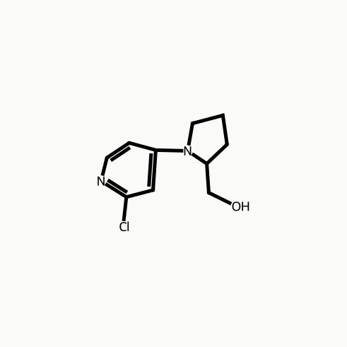 OCC1CCCN1c1ccnc(Cl)c1